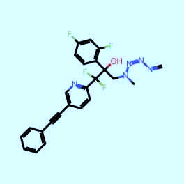 C=N/N=N\N(C)CC(O)(c1ccc(F)cc1F)C(F)(F)c1ccc(C#Cc2ccccc2)cn1